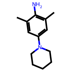 Cc1cc(N2CCCCC2)cc(C)c1N